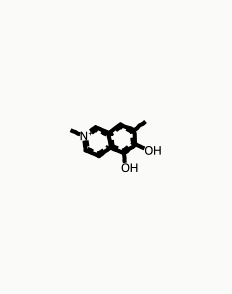 Cc1cc2c[n+](C)ccc2c(O)c1O